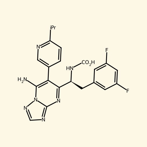 CC(C)c1ccc(-c2c([C@H](Cc3cc(F)cc(F)c3)NC(=O)O)nc3ncnn3c2N)cn1